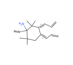 C=C/C=C1/CC(C)(C)C(N)(NC)C(C)(C)/C1=C/C=C